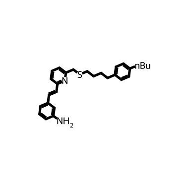 CCCCc1ccc(CCCCSCc2cccc(/C=C/c3cccc(N)c3)n2)cc1